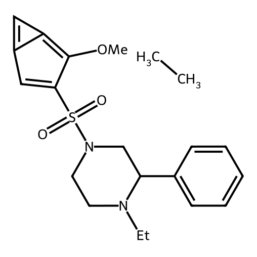 CC.CCN1CCN(S(=O)(=O)c2cc3cc-3c2OC)CC1c1ccccc1